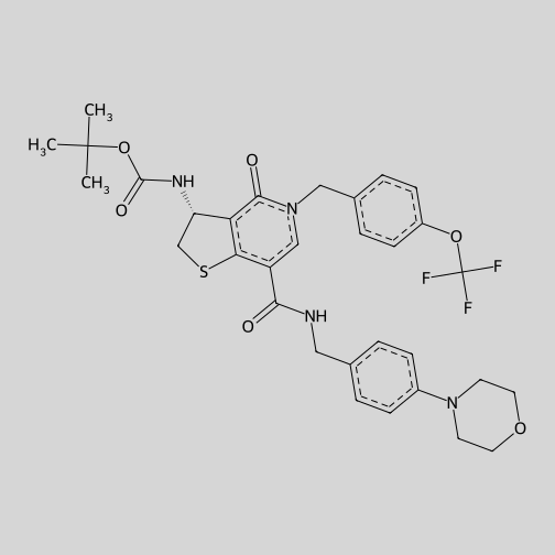 CC(C)(C)OC(=O)N[C@H]1CSc2c(C(=O)NCc3ccc(N4CCOCC4)cc3)cn(Cc3ccc(OC(F)(F)F)cc3)c(=O)c21